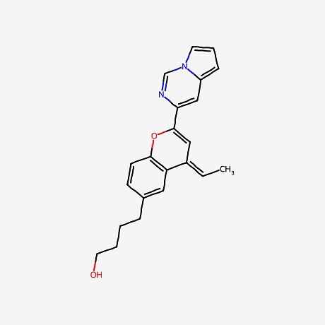 C/C=C1\C=C(c2cc3cccn3cn2)Oc2ccc(CCCCO)cc21